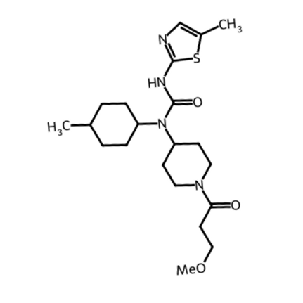 COCCC(=O)N1CCC(N(C(=O)Nc2ncc(C)s2)C2CCC(C)CC2)CC1